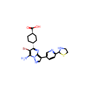 Nc1c(Br)c([C@H]2CC[C@H](C(=O)O)CC2)nc2c(-c3ccc(C4NCCS4)nc3)cnn12